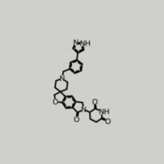 O=C1CCC(N2Cc3cc4c(cc3C2=O)OCC42CCN(Cc3cccc(-c4cn[nH]c4)c3)CC2)C(=O)N1